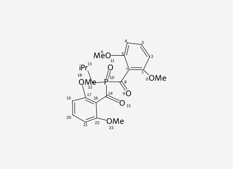 COc1cccc(OC)c1C(=O)P(=O)(CC(C)C)C(=O)c1c(OC)cccc1OC